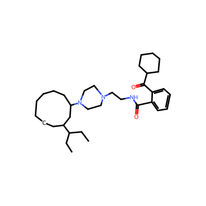 CCC(CC)C1CCCCCCCC(N2CCN(CCNC(=O)c3ccccc3C(=O)C3CCCCC3)CC2)C1